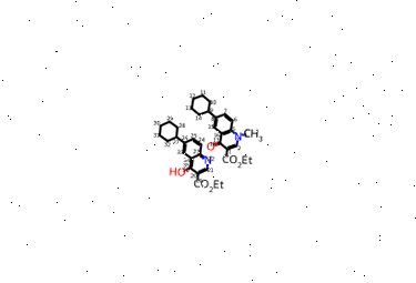 CCOC(=O)c1cn(C)c2ccc(C3CCCCC3)cc2c1=O.CCOC(=O)c1cnc2ccc(C3CCCCC3)cc2c1O